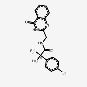 O=C(NCc1nc2ccccc2c(=O)[nH]1)[C@@](O)(c1ccc(Cl)cc1)C(F)(F)F